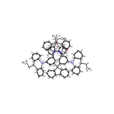 CCC1c2ccccc2N(c2cc(N3c4ccccc4C(CC)c4ccccc43)cc(C3(c4cc(N5c6ccccc6C(CC)c6ccccc65)cc(N5c6ccccc6C(CC)c6ccccc65)c4)c4ccccc4-c4ccccc43)c2)c2ccccc21